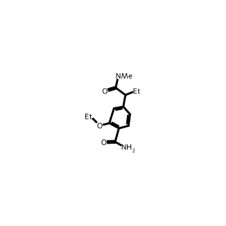 CCOc1cc(C(CC)C(=O)NC)ccc1C(N)=O